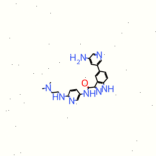 CN(C)CCNc1ccc(NC(=O)c2n[nH]c3ccc(-c4cncc(N)c4)cc23)cn1